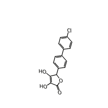 O=C1OC(c2ccc(-c3ccc(Cl)cc3)cc2)C(O)=C1O